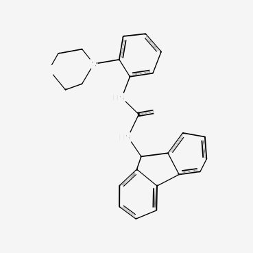 O=C(Nc1ccccc1N1CCOCC1)NC1c2ccccc2-c2ccccc21